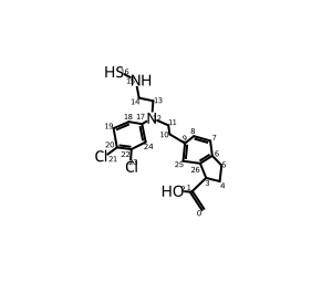 C=C(O)C1CCc2ccc(CCN(CCNS)c3ccc(Cl)c(Cl)c3)cc21